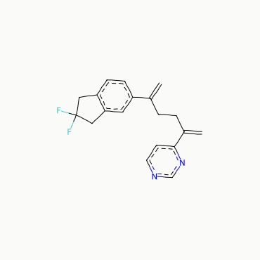 C=C(CCC(=C)c1ccncn1)c1ccc2c(c1)CC(F)(F)C2